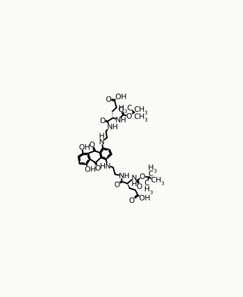 CC(C)(C)OC(=O)N[C@@H](CCC(=O)O)C(=O)NCCNc1ccc(NCCNC(=O)[C@H](CCC(=O)O)NC(=O)OC(C)(C)C)c2c1C(=O)c1c(O)ccc(O)c1C2=O